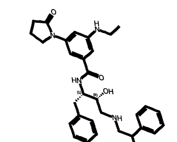 CCNc1cc(C(=O)N[C@@H](Cc2ccccc2)[C@H](O)CNCC(C)c2ccccc2)cc(N2CCCC2=O)c1